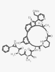 CCn1c(-c2cnccc2COC)c2c3cc(ccc31)-c1cc(O)cc(c1)C[C@H](NC(=O)C(C(C)C)N(C)C(=O)CN(C)C(=O)[C@@H]1N[C@@H]1c1ccccc1)C(=O)N1CCC[C@H](N1)C(=O)OCC(C)(C)C2